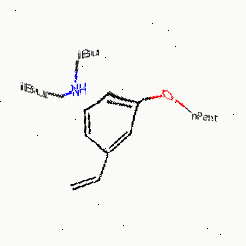 C=Cc1cccc(OCCCCC)c1.CCC(C)NC(C)CC